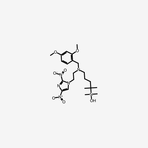 COc1ccc(CN(CCCC(C)(C)[Si](C)(C)O)CCn2cc([N+](=O)[O-])nc2[N+](=O)[O-])c(OC)c1